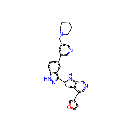 c1cc(-c2cncc3[nH]c(-c4n[nH]c5ccc(-c6cncc(CN7CCCCC7)c6)cc45)cc23)co1